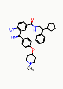 CN1CCC(Oc2ccc(C(=N)c3cc(C(=O)NCC(c4ccccc4)C4CCCC4)ccc3N)cc2)CC1